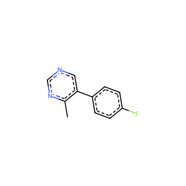 Cc1ncncc1-c1ccc(F)cc1